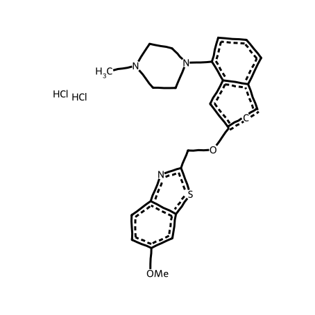 COc1ccc2nc(COc3ccc4cccc(N5CCN(C)CC5)c4c3)sc2c1.Cl.Cl